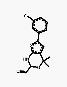 CC1(C)OC(C=O)Nc2sc(-c3cccc(Cl)c3)cc21